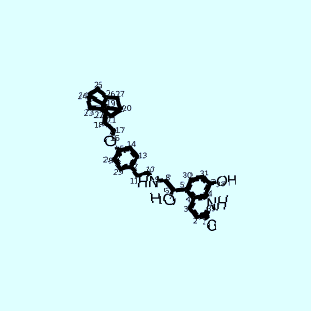 O=c1ccc2c([C@@H](O)CNCCc3ccc(OCCC4C5CC6CC4CC6C5)cc3)ccc(O)c2[nH]1